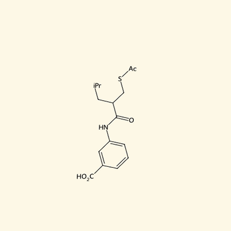 CC(=O)SCC(CC(C)C)C(=O)Nc1cccc(C(=O)O)c1